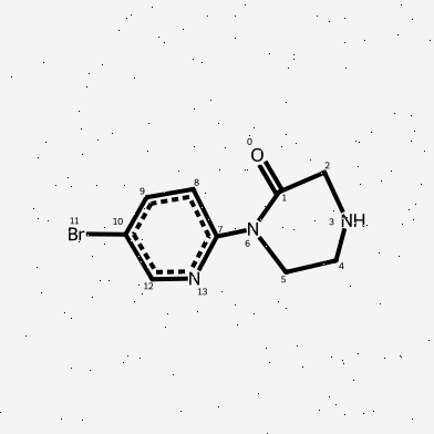 O=C1CNCCN1c1ccc(Br)cn1